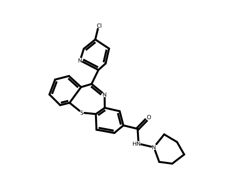 O=C(NN1CCCCC1)c1ccc2c(c1)N=C(c1ccc(Cl)cn1)c1ccccc1S2